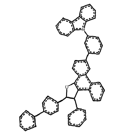 c1ccc(-c2ccc(C3Oc4c(c5ccccc5c5cc(-c6cccc(-n7c8ccccc8c8ccccc87)c6)ccc45)C3c3ccccc3)cc2)cc1